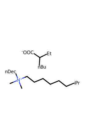 CCCCC(CC)C(=O)[O-].CCCCCCCCCC[N+](C)(C)CCCCCCC(C)C